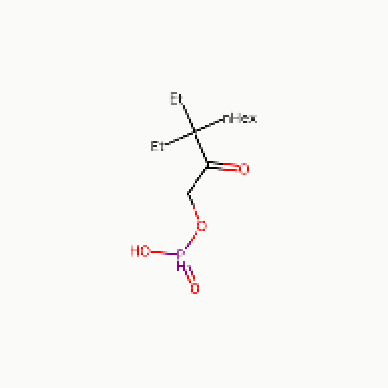 CCCCCCC(CC)(CC)C(=O)CO[PH](=O)O